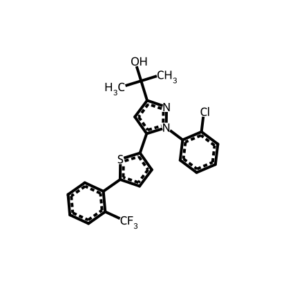 CC(C)(O)c1cc(-c2ccc(-c3ccccc3C(F)(F)F)s2)n(-c2ccccc2Cl)n1